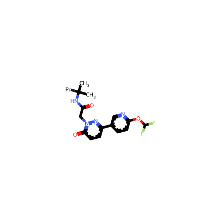 CC(C)C(C)(C)NC(=O)Cn1nc(-c2ccc(OC(F)F)nc2)ccc1=O